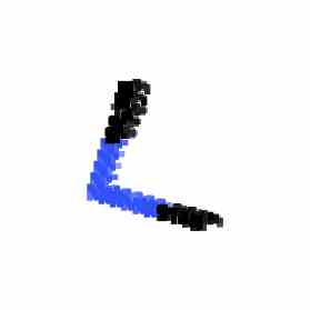 [Bi+3].[Bi+3].[Bi+3].[N-3].[N-3].[N-3].[N-3].[N-3].[N-3].[N-3].[N-3].[N-3].[N-3].[Sr+2].[Sr+2].[Sr+2].[Ta+5].[Ta+5].[Ta+5]